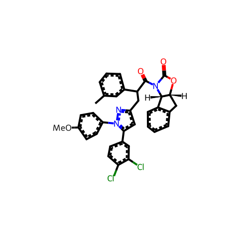 COc1ccc(-n2nc(CC(C(=O)N3C(=O)O[C@@H]4Cc5ccccc5[C@@H]43)c3cccc(C)c3)cc2-c2ccc(Cl)c(Cl)c2)cc1